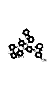 Cc1cc2c3c(c1)N(c1cccc4oc5ccccc5c14)c1cc(C(C)(C)C)ccc1B3c1ccc(N3c4ccc(C(C)(C)C)cc4C4(C)CCCCC34C)cc1N2c1cccc2c1sc1ccccc12